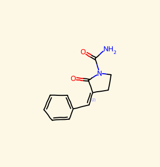 NC(=O)N1CC/C(=C/c2ccccc2)C1=O